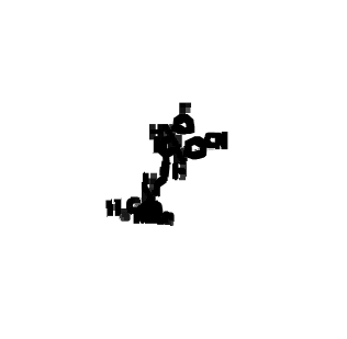 CN[C@@H](C)C(=O)NCCCC#Cc1cnc(Nc2cccc(F)c2)nc1Nc1ccc(C#N)cc1